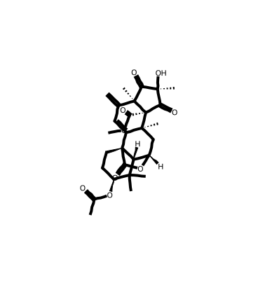 C=C1C=C2[C@]34CC[C@H](OC(C)=O)C(C)(C)[C@H]3[C@H](C[C@]2(C)[C@]2(C(=O)OC)C(=O)[C@](C)(O)C(=O)[C@]12C)OC4=O